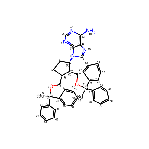 CC(C)(C)[Si](OC[C@H]1CC[C@@H](n2cnc3c(N)ncnc32)[C@H]1CO[Si](c1ccccc1)(c1ccccc1)C(C)(C)C)(c1ccccc1)c1ccccc1